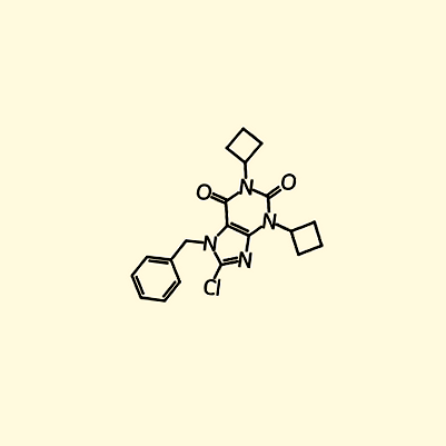 O=c1c2c(nc(Cl)n2Cc2ccccc2)n(C2CCC2)c(=O)n1C1CCC1